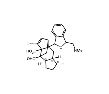 CNCC1OC(C23C[C@@H]4[C@H](C)CC[C@H]4C4(C=O)CC2C=C(C(C)C)C34C(=O)O)c2ccccc21